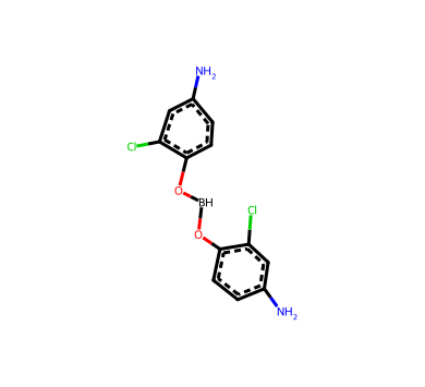 Nc1ccc(OBOc2ccc(N)cc2Cl)c(Cl)c1